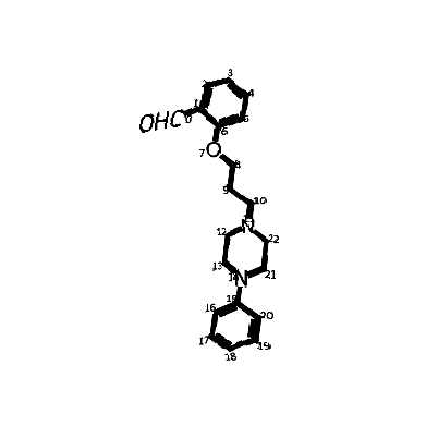 O=Cc1ccccc1OCCCN1CCN(c2ccccc2)CC1